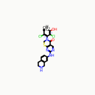 C#C/C(Cl)=C(\C(Cl)=C(/C)O)N1CSc2nc(Nc3ccc4c(c3)CNCC4)ncc2C1=O